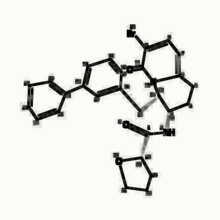 O=C(N[C@H]1CCc2ccc(Br)c(=O)n2[C@H]1Cc1cccc(-c2ccccc2)c1)[C@@H]1CCCO1